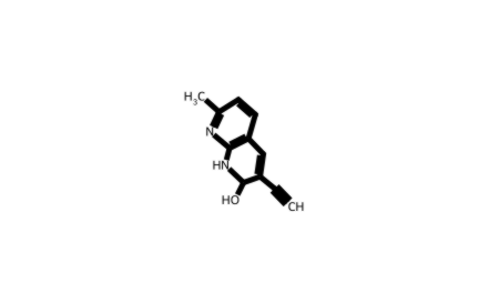 C#CC1=Cc2ccc(C)nc2NC1O